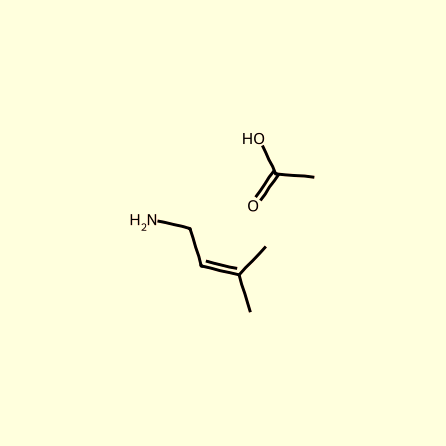 CC(=O)O.CC(C)=CCN